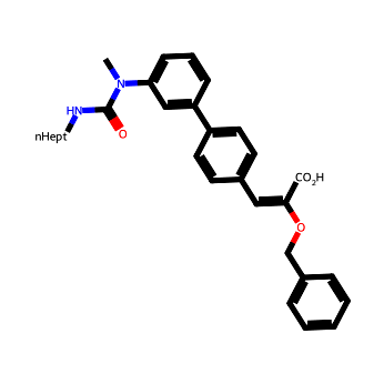 CCCCCCCNC(=O)N(C)c1cccc(-c2ccc(/C=C(/OCc3ccccc3)C(=O)O)cc2)c1